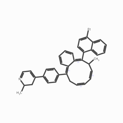 CCc1ccc(/C2=c3\cccc\c3=C(/c3ccc(C4=CC=NC(C)C4)cc3)C/C=C\C=C/C2C)c2ccccc12